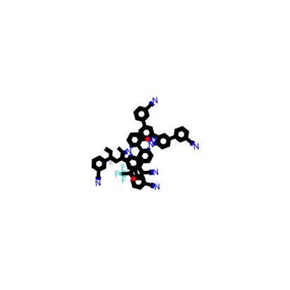 C=C/C(=C\c1c(C)n(-c2cccc(C#N)c2-c2cc(-c3cc(C(F)(F)F)ccc3C#N)ccc2-n2c3ccc(-c4cccc(C#N)c4)cc3c3cc(-c4cccc(C#N)c4)ccc32)c2ccc(-c3cccc(C#N)c3)cc12)c1cccc(C#N)c1